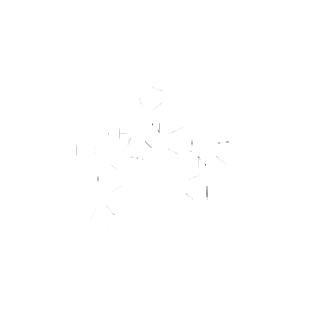 CC1(C)c2cc3oc4ccccc4c3cc2-c2cc3c4cc(N(c5ccccc5)c5ccccc5)ccc4n(-c4ccccc4)c3cc21